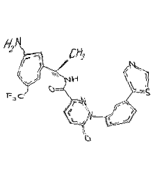 C[C@@H](NC(=O)c1ccc(=O)n(-c2cccc(-c3cncs3)c2)n1)c1cc(N)cc(C(F)(F)F)c1